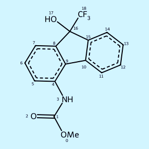 COC(=O)Nc1cccc2c1-c1ccccc1C2(O)C(F)(F)F